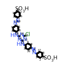 O=S(=O)(O)c1ccc(N=Nc2ccc(Nc3nc(Cl)nc(Nc4ccc(N=Nc5ccc(S(=O)(=O)O)cc5)cc4)n3)cc2)cc1